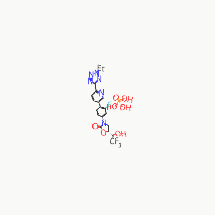 CCn1nnc(-c2ccc(-c3ccc(N4C[C@H](C(O)C(F)(F)F)OC4=O)cc3F)cn2)n1.O=P(O)(O)O